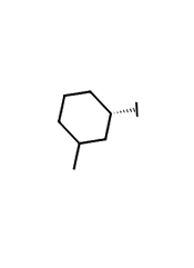 CC1CCC[C@H](I)C1